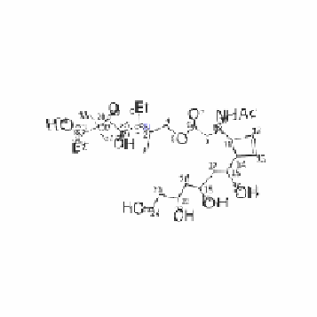 CC/C(=C(/C)COC(=O)C[C@@H](NC(C)=O)C1C=CC1C(O)CC(O)CC(O)CCO)[C@@H](O)C(=O)C(C)(C)[C@@H](O)CC